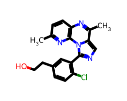 Cc1ccc2nc(C)c3cnc(-c4cc(CCO)ccc4Cl)n3c2n1